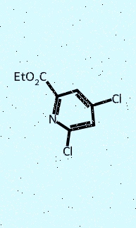 CCOC(=O)c1cc(Cl)cc(Cl)n1